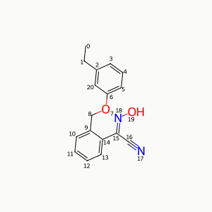 CCc1cccc(OCc2ccccc2C(C#N)=NO)c1